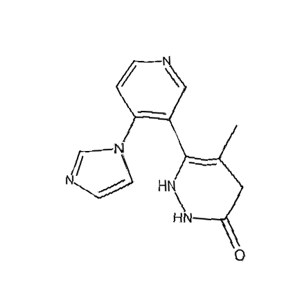 CC1=C(c2cnccc2-n2ccnc2)NNC(=O)C1